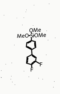 CO[Si](OC)(OC)c1ccc(-c2ccc(F)c(F)c2)cc1